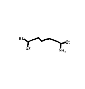 CCC(N)CCCC(CC)CC